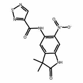 CC1(C)C(=O)Nc2cc([N+](=O)[O-])c(NC(=O)c3cnsn3)cc21